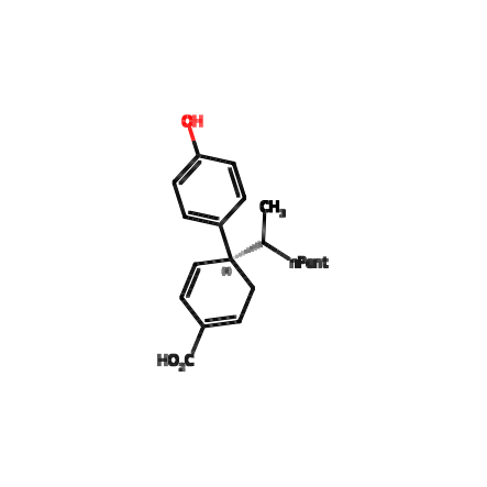 CCCCCC(C)[C@@]1(c2ccc(O)cc2)C=CC(C(=O)O)=CC1